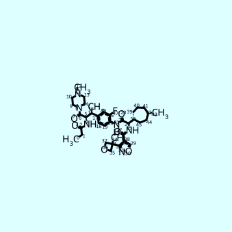 CCC(=O)N[C@@H](C(=O)N1CCN(C)CC1)[C@@H](C)c1ccc(NC(=O)[C@@H](NC(=O)c2conc2C2(C)COC2)[C@@H]2CCC[C@@H](C)CC2)c(F)c1